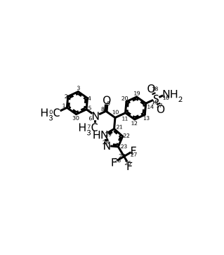 Cc1cccc(N(C)C(=O)C(c2ccc(S(N)(=O)=O)cc2)c2cc(C(F)(F)F)n[nH]2)c1